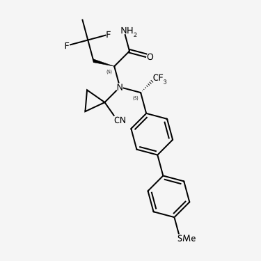 CSc1ccc(-c2ccc([C@H](N([C@@H](CC(C)(F)F)C(N)=O)C3(C#N)CC3)C(F)(F)F)cc2)cc1